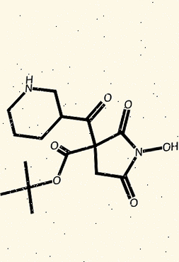 CC(C)(C)OC(=O)C1(C(=O)C2CCCNC2)CC(=O)N(O)C1=O